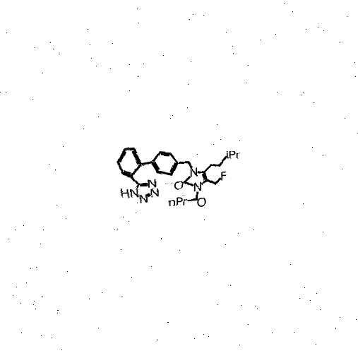 CCCC(=O)n1c(CF)c(CCC(C)C)n(Cc2ccc(-c3ccccc3-c3nnn[nH]3)cc2)c1=O